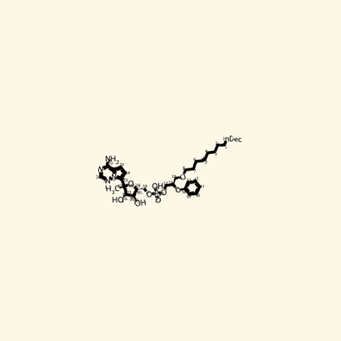 CCCCCCCCCCCCCCCCCCOC[C@H](COP(=O)(O)OC[C@H]1O[C@@](C)(c2ccc3c(N)ncnn23)[C@H](O)[C@@H]1O)Oc1ccccc1